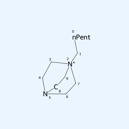 CCCCCC[N+]12CCN(CC1)CC2